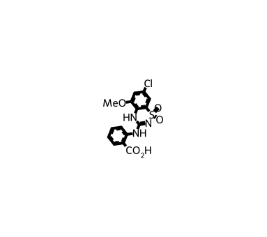 COc1cc(Cl)cc2c1NC(Nc1ccccc1C(=O)O)=NS2(=O)=O